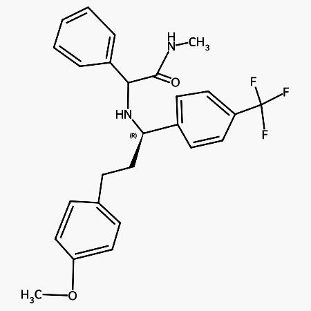 CNC(=O)C(N[C@H](CCc1ccc(OC)cc1)c1ccc(C(F)(F)F)cc1)c1ccccc1